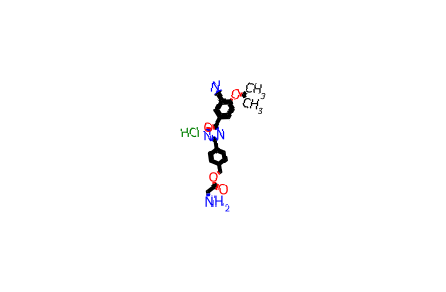 CC(C)Oc1ccc(-c2nc(-c3ccc(COC(=O)CN)cc3)no2)cc1C#N.Cl